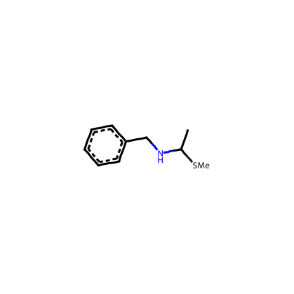 CSC(C)NCc1ccccc1